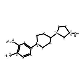 COc1cc(N2CCC(N3CC[C@@H](O)C3)CC2)ccc1N